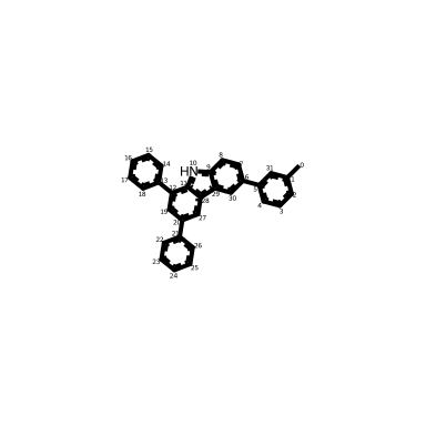 Cc1cccc(-c2ccc3[nH]c4c(-c5ccccc5)cc(-c5ccccc5)cc4c3c2)c1